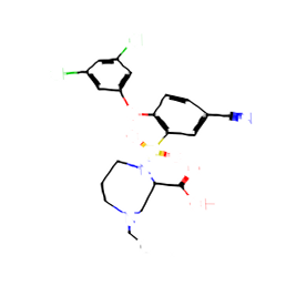 CCN1CCCN(S(=O)(=O)c2cc(C#N)ccc2Oc2cc(Cl)cc(Cl)c2)C(C(=O)O)C1